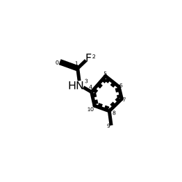 C=C(F)Nc1cccc(C)c1